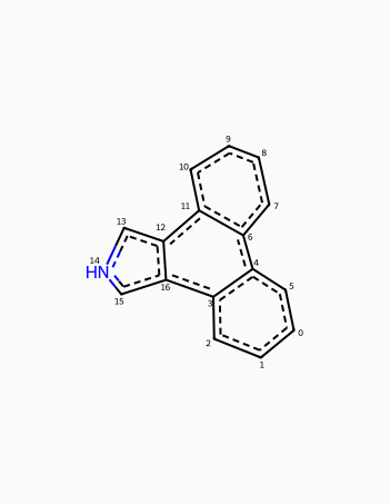 c1ccc2c(c1)c1ccccc1c1c[nH]cc21